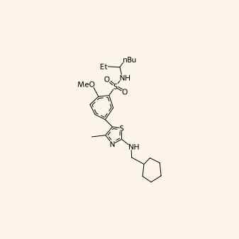 CCCCC(CC)NS(=O)(=O)c1cc(-c2sc(NCC3CCCCC3)nc2C)ccc1OC